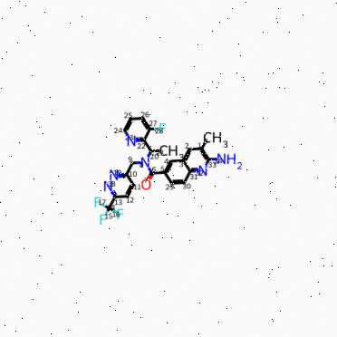 Cc1cc2cc(C(=O)N(Cc3ccc(C(F)(F)F)nn3)C(C)c3ncccc3F)ccc2nc1N